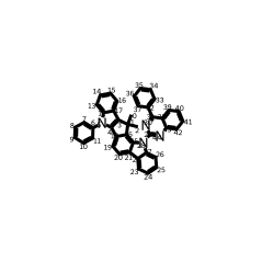 CC1(C)c2c(n(-c3ccccc3)c3ccccc23)-c2ccc3c4ccccc4n(-c4nc(-c5ccccc5)c5ccccc5n4)c3c21